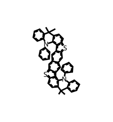 CC1(C)c2ccccc2N(c2ccccc2)c2c1ccc1sc3cc4cc5c(cc4cc3c21)sc1ccc2c(c15)N(c1ccccc1)c1ccccc1C2(C)C